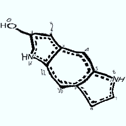 Oc1cc2cc3[nH]ccc3cc2[nH]1